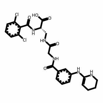 O=C(CNC(=O)c1cccc(NC2=CCCCN2)c1)NC[C@H](NC(=O)c1c(Cl)cccc1Cl)C(=O)O